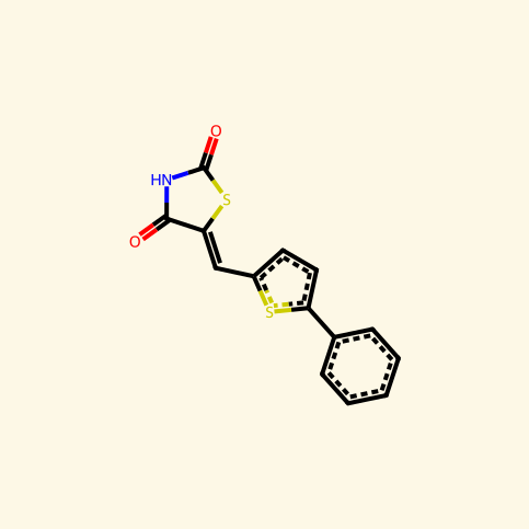 O=C1NC(=O)C(=Cc2ccc(-c3ccccc3)s2)S1